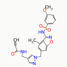 C#CC(=O)NCc1cnn(Cc2cc(C)c3c(NS(=O)(=O)c4cccc(OC)c4)noc3c2)c1